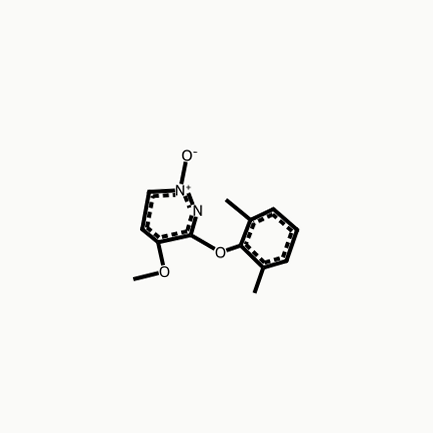 COc1cc[n+]([O-])nc1Oc1c(C)cccc1C